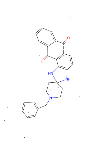 O=C1c2ccccc2C(=O)c2c1ccc1c2NC2(CCN(Cc3ccccc3)CC2)N1